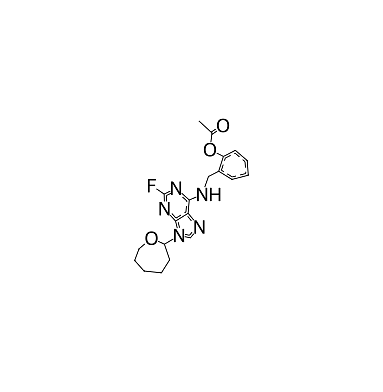 CC(=O)Oc1ccccc1CNc1nc(F)nc2c1ncn2C1CCCCCO1